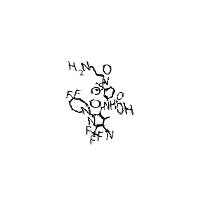 Cc1c(C#N)c(C(F)(F)F)nc(N2CCCC(F)(F)CC2)c1C(=O)Nc1cccc(S(C)(=O)=NC(=O)CCN)c1.O=CO